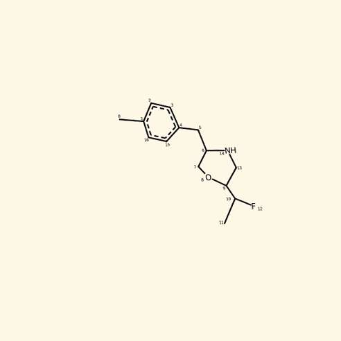 Cc1ccc(CC2COC(C(C)F)CN2)cc1